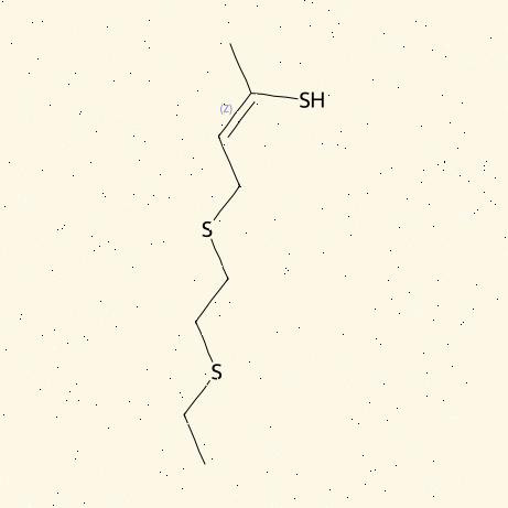 CCSCCSC/C=C(/C)S